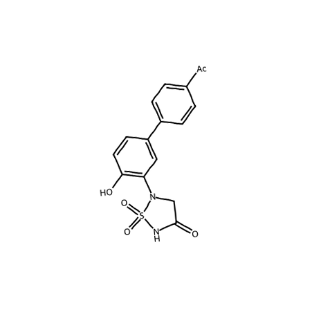 CC(=O)c1ccc(-c2ccc(O)c(N3CC(=O)NS3(=O)=O)c2)cc1